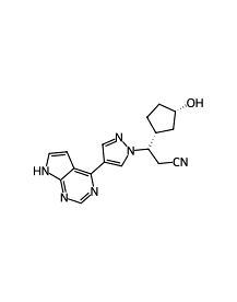 N#CCC([C@@H]1CC[C@H](O)C1)n1cc(-c2ncnc3[nH]ccc23)cn1